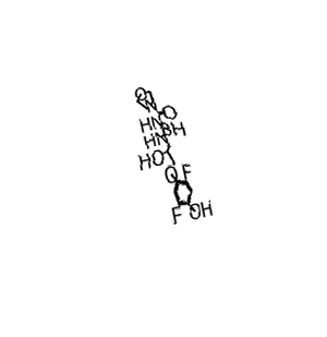 O=C(NBNC[C@H](O)COc1cc(F)c(O)cc1F)N1CCOCC1